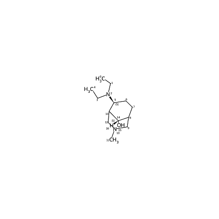 CCN(CC)[C@H]1CCC2CN(C)CC1[C@H]2O